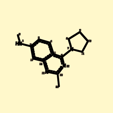 CNc1ccc2c(N3CCCC3)nc(C)nc2c1